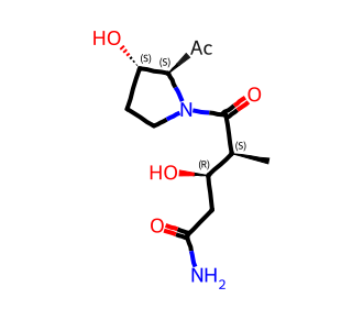 CC(=O)[C@@H]1[C@@H](O)CCN1C(=O)[C@@H](C)[C@H](O)CC(N)=O